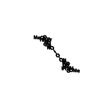 COC(=O)N[C@H](C(=O)N1CCC[C@H]1c1nc2cc(C#Cc3ccc(-c4ccc5[nH]c([C@@H]6CCCN6C(=O)[C@@H](NC(=O)OC)C(C)C)nc5c4)cc3)ccc2[nH]1)C(C)C